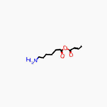 CC=CC(=O)OC(=O)CCCCCN